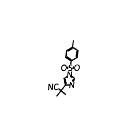 Cc1ccc(S(=O)(=O)n2cnc(C(C)(C)C#N)c2)cc1